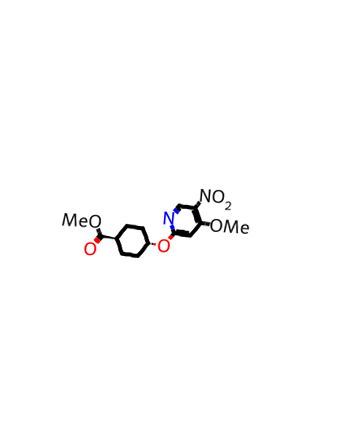 COc1cc(O[C@H]2CC[C@H](C(=O)OC)CC2)ncc1[N+](=O)[O-]